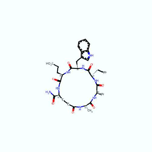 CC(C)C[C@@H]1NC(=O)[C@@H](C(C)C)NC(=O)[C@H](C)NC(=O)CC[C@@H](C(N)=O)NC(=O)[C@@H](CCC(=O)O)NC(=O)[C@@H](Cc2c[nH]c3ccccc23)NC1=O